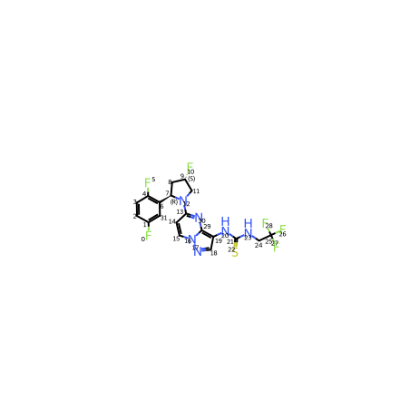 Fc1ccc(F)c([C@H]2C[C@H](F)CN2c2ccn3ncc(NC(=S)NCC(F)(F)F)c3n2)c1